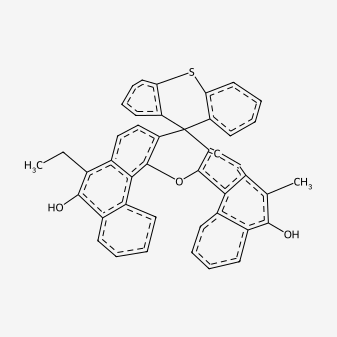 CCc1c(O)c2ccccc2c2c3c(ccc12)C1(c2ccccc2Sc2ccccc21)c1ccc2c(C)c(O)c4ccccc4c2c1O3